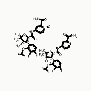 C[C@@H]1[C@H](c2ccc(F)c(F)c2OC(F)F)[C@H](C(=O)Nc2cc[n+]([O-])c(C(N)=O)c2)O[C@]1(C)C(F)(F)F.C[C@H]1[C@@H](c2ccc(F)c(F)c2OC(F)F)[C@@H](C(=O)Nc2ccnc(C(N)=O)c2)O[C@@]1(C)C(F)(F)F